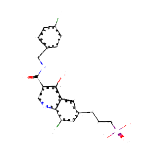 O=C(NCc1ccc(Cl)cc1)c1cnc2c(F)cc(CCCP(=O)(O)O)cc2c1O